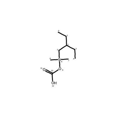 CCC(CC)C[Si](C)(C)OC(=O)O